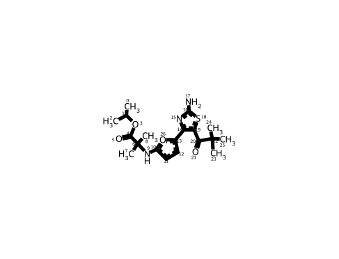 CC(C)OC(=O)C(C)(C)Nc1ccc(-c2nc(N)sc2C(=O)C(C)(C)C)o1